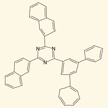 C1=CC=C(c2cc(-c3ccccc3)cc(-c3nc(-c4ccc5ccccc5c4)nc(-c4ccc5ccccc5c4)n3)c2)CC=C1